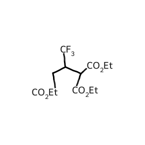 CCOC(=O)CC(C(C(=O)OCC)C(=O)OCC)C(F)(F)F